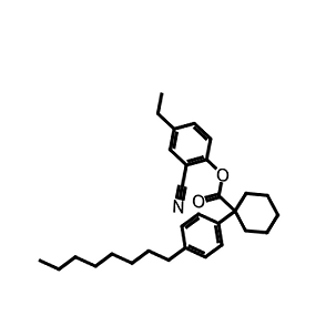 CCCCCCCCc1ccc(C2(C(=O)Oc3ccc(CC)cc3C#N)CCCCC2)cc1